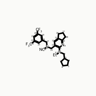 CCN(CC1CCCC1)c1nc2c(cc1CN(C#N)Cc1cc(C(F)(F)F)cc(C(F)(F)F)c1)CCC2